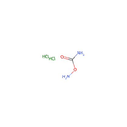 Cl.Cl.NOC(N)=O